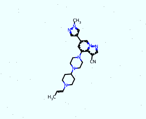 CC=CN1CCC(N2CCN(c3cc(-c4cnn(C)c4)cn4ncc(C#N)c34)CC2)CC1